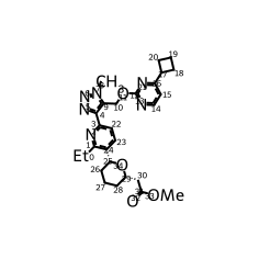 CCc1nc(-c2nnn(C)c2COc2nccc(C3CCC3)n2)ccc1[C@H]1CCC[C@@H](CC(=O)OC)O1